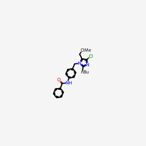 CCCCc1nc(Cl)c(COC)n1Cc1ccc(NC(=O)c2ccccc2)cc1